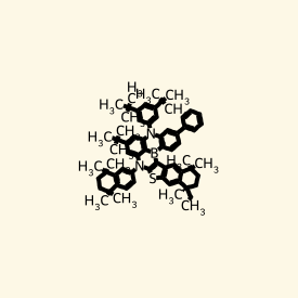 CC[C@@]1(C)CCC(C)(C)c2cc3c4c(sc3cc21)N(c1ccc2c(c1)C(C)(C)CCC2(C)C)c1cc(C(C)(C)C)cc2c1B4c1ccc(-c3ccccc3)cc1N2c1cc(C(C)(C)C)cc(C(C)(C)C)c1